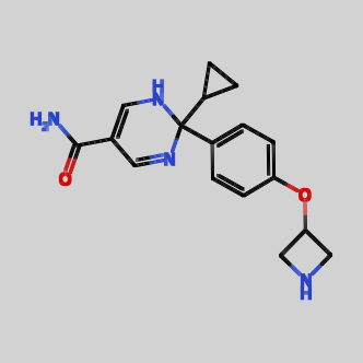 NC(=O)C1=CNC(c2ccc(OC3CNC3)cc2)(C2CC2)N=C1